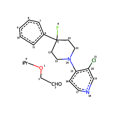 CC(C)OCC=O.FC1(c2ccccc2)CCN(c2ccncc2Cl)CC1